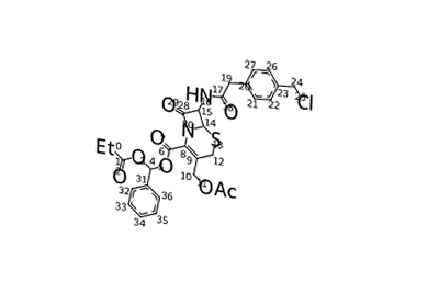 CCC(=O)OC(OC(=O)C1=C(COC(C)=O)CSC2C(NC(=O)Cc3ccc(CCl)cc3)C(=O)N12)c1ccccc1